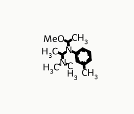 COC(C)N(c1cccc(C)c1)C(C)N(C)C